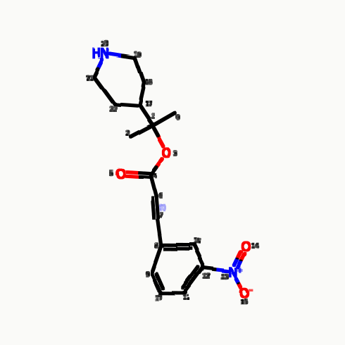 CC(C)(OC(=O)/C=C/c1cccc([N+](=O)[O-])c1)C1CCNCC1